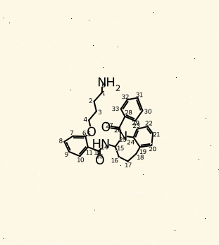 NCCCCOc1ccccc1C(=O)NC1CCCc2ccccc2N1C(=O)c1ccccc1